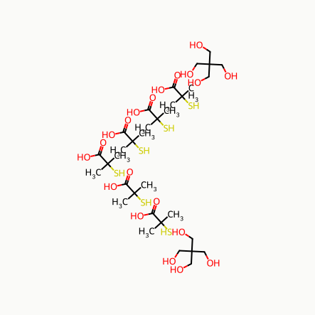 CC(C)(S)C(=O)O.CC(C)(S)C(=O)O.CC(C)(S)C(=O)O.CC(C)(S)C(=O)O.CC(C)(S)C(=O)O.CC(C)(S)C(=O)O.OCC(CO)(CO)CO.OCC(CO)(CO)CO